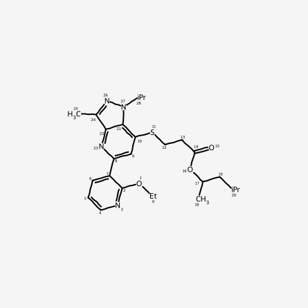 CCOc1ncccc1-c1cc(SCCC(=O)OC(C)CC(C)C)c2c(n1)c(C)nn2C(C)C